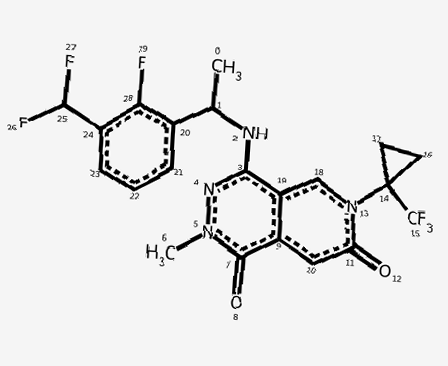 CC(Nc1nn(C)c(=O)c2cc(=O)n(C3(C(F)(F)F)CC3)cc12)c1cccc(C(F)F)c1F